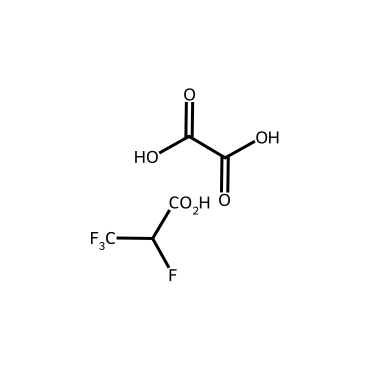 O=C(O)C(=O)O.O=C(O)C(F)C(F)(F)F